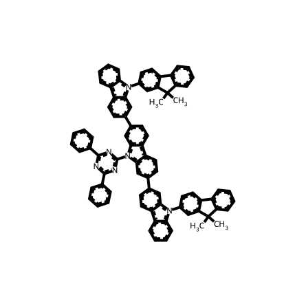 CC1(C)c2ccccc2-c2ccc(-n3c4ccccc4c4ccc(-c5ccc6c7ccc(-c8ccc9c%10ccccc%10n(-c%10ccc%11c(c%10)C(C)(C)c%10ccccc%10-%11)c9c8)cc7n(-c7nc(-c8ccccc8)nc(-c8ccccc8)n7)c6c5)cc43)cc21